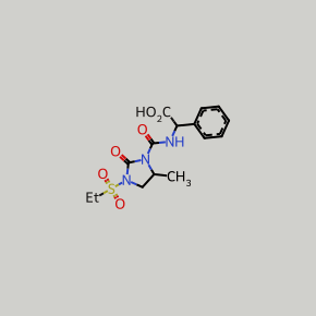 CCS(=O)(=O)N1CC(C)N(C(=O)NC(C(=O)O)c2ccccc2)C1=O